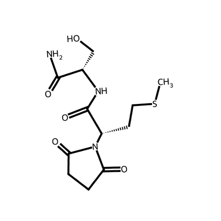 CSCC[C@@H](C(=O)N[C@@H](CO)C(N)=O)N1C(=O)CCC1=O